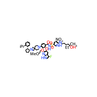 CC[C@@](C)(O)CCCCNc1ncc(S(=O)(=O)NC(=O)c2ccc(N3CCC4(CC3)CN([C@@H]3CCC[C@@H]3c3ccccc3C(C)C)C4)cc2Oc2cc3c(F)c[nH]c3nc2OCCOC)cc1[N+](=O)[O-]